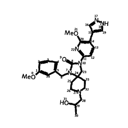 COc1cccc(CN2C(=O)N(c3ccc(-c4cn[nH]c4)c(OC)n3)CC23CCN(CC(C)O)CC3)c1